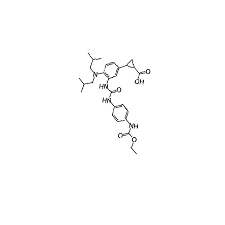 CCOC(=O)Nc1ccc(NC(=O)Nc2cc(C3CC3C(=O)O)ccc2N(CC(C)C)CC(C)C)cc1